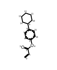 C=CC(=O)Oc1ccc(C2CCCCC2)cc1